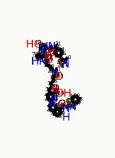 Cc1ncsc1-c1ccc([C@H](C)NC(=O)[C@@H]2C[C@@H](O)CN2C(=O)[C@@H](NC(=O)CCCN(C)C(=O)CCCCCc2ccc(N3CCc4cccc(C(=O)Nc5nc6ccccc6s5)c4C3)nc2C(=O)O)C(C)(C)C)cc1